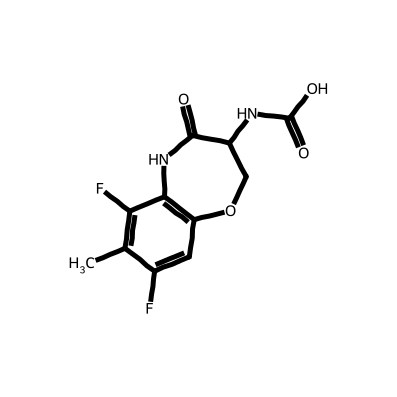 Cc1c(F)cc2c(c1F)NC(=O)C(NC(=O)O)CO2